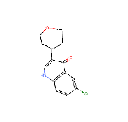 O=c1c(C2CCOCC2)c[nH]c2ccc(Cl)cc12